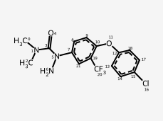 CN(C)C(=O)N(N)c1ccc(Oc2ccc(Cl)cc2)c(C(F)(F)F)c1